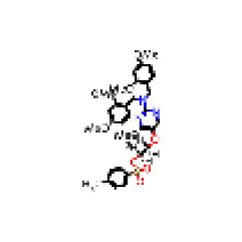 [2H]C([2H])(Oc1cnc(N(Cc2ccc(OC)cc2OC)Cc2ccc(OC)cc2OC)nc1OC)C([2H])([2H])OS(=O)(=O)c1ccc(C)cc1